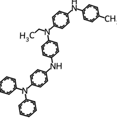 CCN(c1ccc(Nc2ccc(C)cc2)cc1)c1ccc(Nc2ccc(N(c3ccccc3)c3ccccc3)cc2)cc1